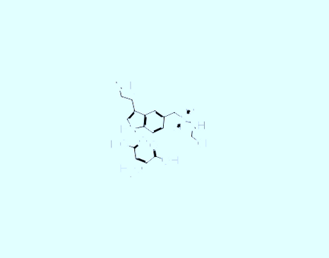 CCNS(=O)(=O)Cc1ccc2[nH]cc(CCN)c2c1.O.O=C(O)/C=C\C(=O)O